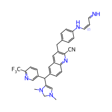 CN1C=C(C(c2ccc(C(F)(F)F)nc2)c2ccc3nc(C#N)c(Cc4ccc(N/C=C\C=N)cc4)cc3c2)N(C)C1